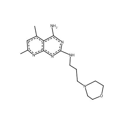 Cc1cc(C)c2c(N)nc(NCCCN3CCOCC3)nc2n1